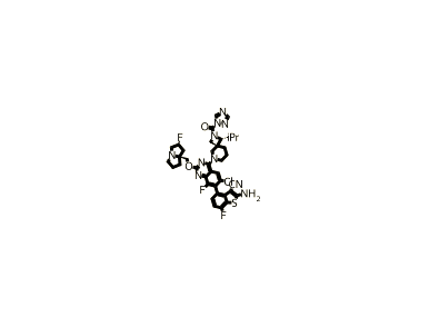 CC(C)[C@H]1N(C(=O)n2cncn2)C[C@]12CCCN(c1nc(OC[C@@]34CCCN3C[C@H](F)C4)nc3c(F)c(-c4ccc(F)c5sc(N)c(C#N)c45)c(Cl)cc13)C2